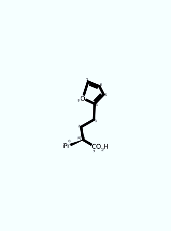 CC(C)[C@@H](CCc1ccco1)C(=O)O